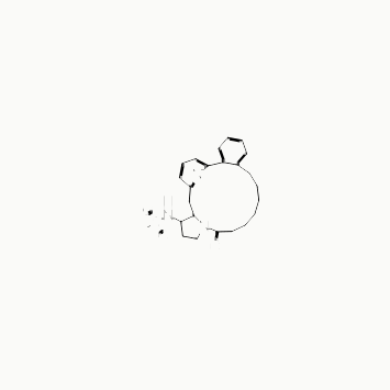 CCS(=O)(=O)NC1CCN2C(=O)CCCCCCc3ccccc3-c3cccc(n3)CC12